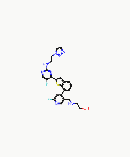 OCCNCc1cnc(F)cc1-c1cccc2cc(-c3nc(NCCn4ccnn4)ncc3F)sc12